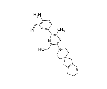 Cc1nc(N2CCC3(CC2)CC2=C(CCC=C2)C3)c(CO)nc1-c1ccc(N)c(C=N)c1